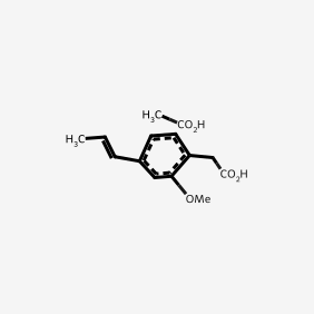 CC(=O)O.CC=Cc1ccc(CC(=O)O)c(OC)c1